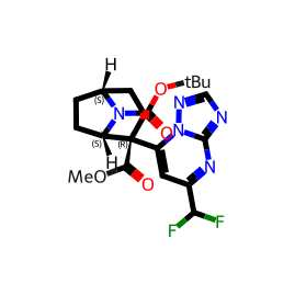 COC(=O)[C@]1(c2cc(C(F)F)nc3ncnn23)CC[C@H]2CC[C@@H]1N2C(=O)OC(C)(C)C